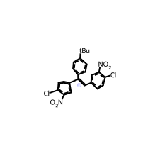 CC(C)(C)c1ccc(/C(=C\c2ccc(Cl)c([N+](=O)[O-])c2)c2ccc(Cl)c([N+](=O)[O-])c2)cc1